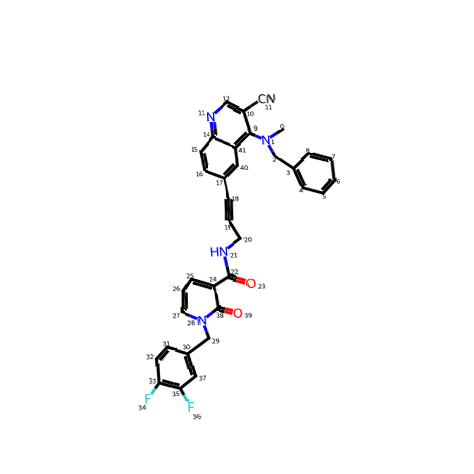 CN(Cc1ccccc1)c1c(C#N)cnc2ccc(C#CCNC(=O)c3cccn(Cc4ccc(F)c(F)c4)c3=O)cc12